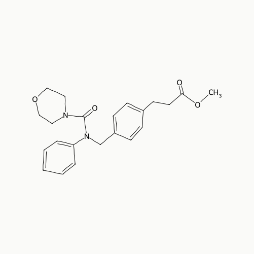 COC(=O)CCc1ccc(CN(C(=O)N2CCOCC2)c2ccccc2)cc1